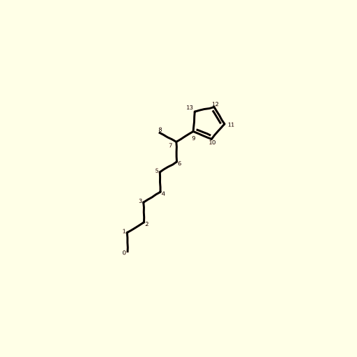 CCCCCCCC(C)C1=CC=CC1